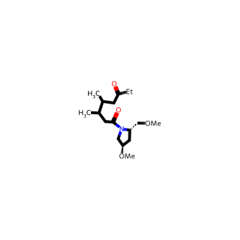 CCC(=O)CC(C)C(C)CC(=O)N1C[C@H](OC)C[C@H]1COC